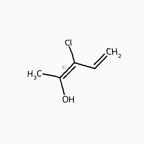 C=C/C(Cl)=C(/C)O